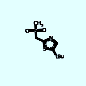 CC(C)(C)c1cnc(CS(C)(=O)=O)s1